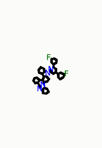 Fc1cccc(-c2cc(-c3cccc(F)c3)nc(-n3c4ccccc4c4c5c6ccccc6c6nc7ccccc7n6c5ccc43)c2)c1